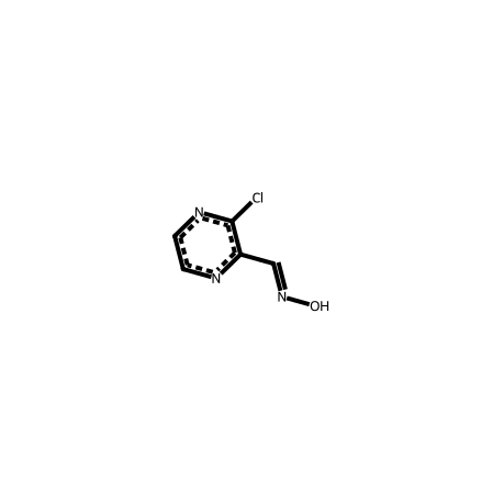 ON=Cc1nccnc1Cl